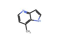 Cc1ccnc2cc[nH]c12